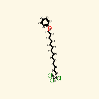 Cl[Si](Cl)(Cl)CCCCCCCCCCCCCCOc1ccccc1